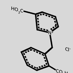 O=C(O)c1ccc[n+](Cc2ccccc2C(=O)O)c1.[Cl-]